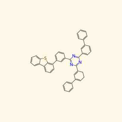 C1=C(c2ccccc2)C=C(c2nc(-c3cccc(-c4ccccc4)c3)nc(-c3cccc(-c4cccc5c4sc4ccccc45)c3)n2)CC1